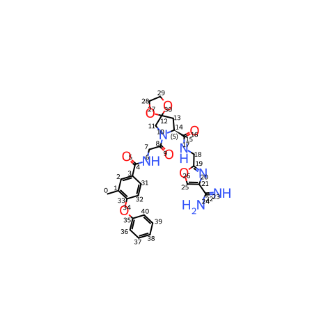 Cc1cc(C(=O)NCC(=O)N2CC3(C[C@H]2C(=O)NCc2nc(C(=N)N)co2)OCCO3)ccc1Oc1ccccc1